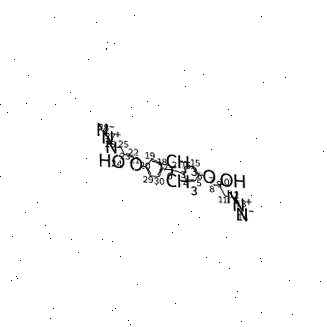 CC(C)(c1ccc(OCC(O)CN=[N+]=[N-])cc1)c1ccc(OCC(O)CN=[N+]=[N-])cc1